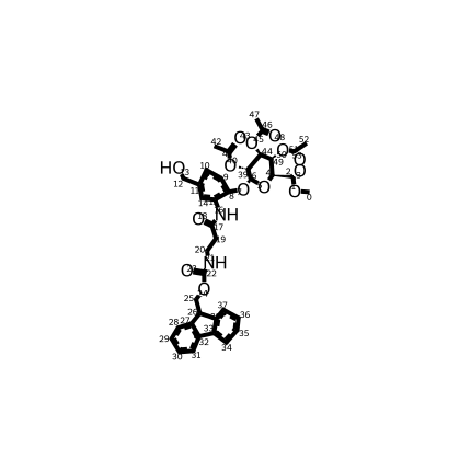 COC(=O)[C@H]1O[C@@H](Oc2ccc(CO)cc2NC(=O)CCNC(=O)OCC2c3ccccc3-c3ccccc32)[C@H](OC(C)=O)[C@@H](OC(C)=O)[C@@H]1OC(C)=O